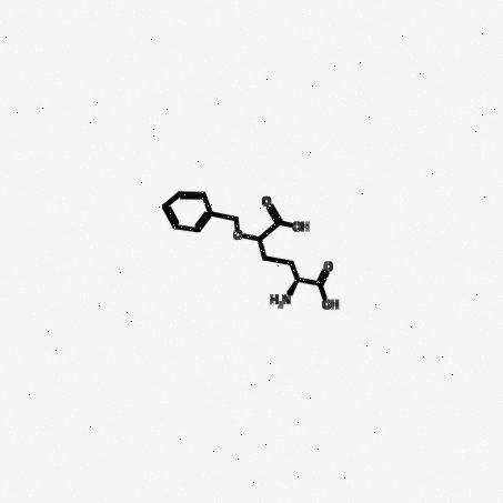 N[C@@H](CCC(OCc1ccccc1)C(=O)O)C(=O)O